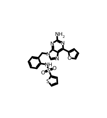 Nc1nc(-c2ccco2)c2ncn(Cc3ccccc3NS(=O)(=O)c3cccs3)c2n1